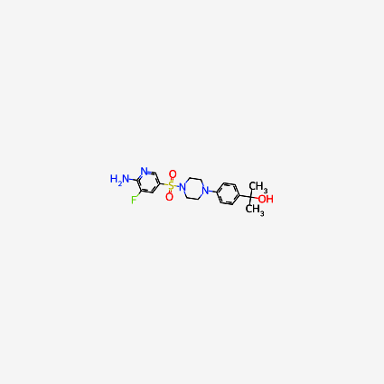 CC(C)(O)c1ccc(N2CCN(S(=O)(=O)c3cnc(N)c(F)c3)CC2)cc1